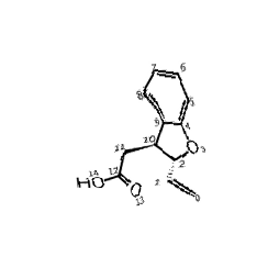 C=C[C@H]1Oc2ccccc2[C@@H]1CC(=O)O